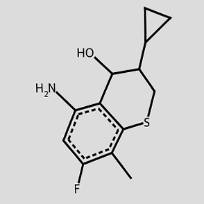 Cc1c(F)cc(N)c2c1SCC(C1CC1)C2O